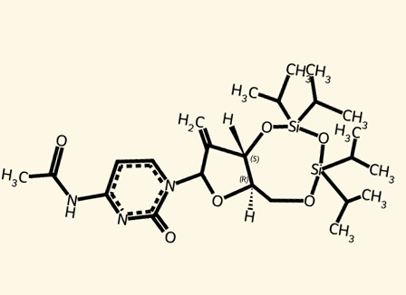 C=C1C(n2ccc(NC(C)=O)nc2=O)O[C@@H]2CO[Si](C(C)C)(C(C)C)O[Si](C(C)C)(C(C)C)O[C@@H]12